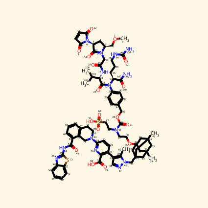 COC[C@@H]1C[C@H](N2C(=O)C=CC2=O)C(=O)N1CC(=O)N[C@H](C(=O)N(c1ccc(COC(=O)N(CCOC23CC4(C)CC(C)(CC(Cn5ncc(-c6ccc(N7CCc8cccc(C(=O)Nc9nc%10ccccc%10s9)c8C7)nc6C(=O)O)c5C)(C4)C2)C3)CCS(=O)(=O)O)cc1)[C@@H](CCCNC(N)=O)C(N)=O)C(C)C